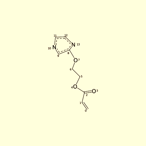 C=CC(=O)OCCOc1cnccn1